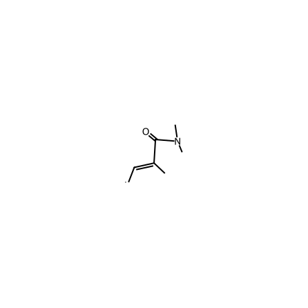 [CH2]/C=C(\C)C(=O)N(C)C